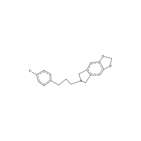 Fc1ccc(CCCN2Cc3cc4c(cc3C2)OCO4)cc1